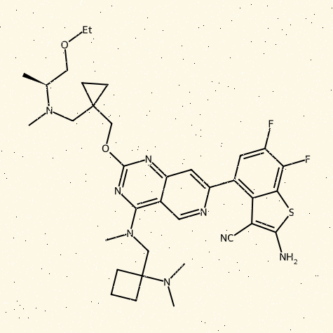 CCOC[C@H](C)N(C)CC1(COc2nc(N(C)CC3(N(C)C)CCC3)c3cnc(-c4cc(F)c(F)c5sc(N)c(C#N)c45)cc3n2)CC1